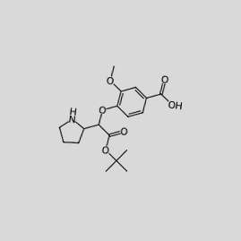 COc1cc(C(=O)O)ccc1OC(C(=O)OC(C)(C)C)C1CCCN1